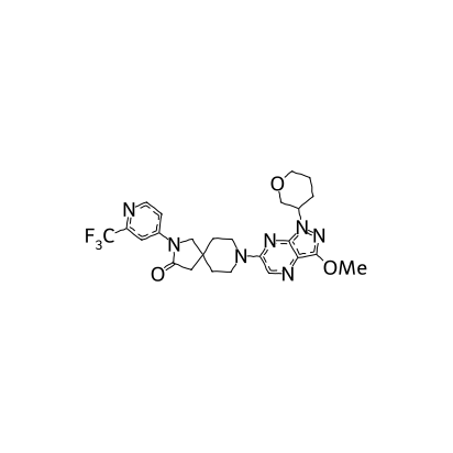 COc1nn(C2CCCOC2)c2nc(N3CCC4(CC3)CC(=O)N(c3ccnc(C(F)(F)F)c3)C4)cnc12